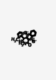 Cn1ccnc1C(S)c1c(C(N)=O)[n+]([O-])c2ccccc2[n+]1[O-]